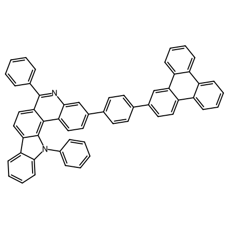 c1ccc(-c2nc3cc(-c4ccc(-c5ccc6c7ccccc7c7ccccc7c6c5)cc4)ccc3c3c2ccc2c4ccccc4n(-c4ccccc4)c23)cc1